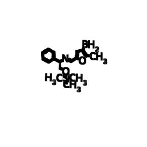 Bc1cc(/C=N/[C@@H](CO[Si](C)(C)C)c2ccccc2)oc1C